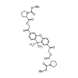 CC(C)(C)OC(=O)N1CCCC1C(=O)OCC(=O)c1ccc2c(c1)Oc1ccc(C(=O)COC(=O)[C@@H]3CCCN3C(=O)OC(C)(C)C)cc1C2(C)C